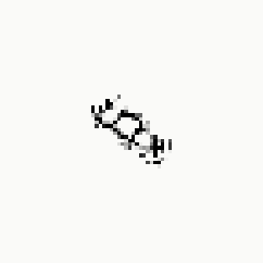 [2H]C1([2H])Oc2cc(Br)c(C=O)cc2O1